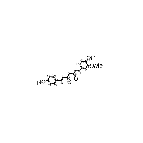 COc1cc(/C=C/C(=O)CC(=O)/C=C/c2ccc(O)cc2)ccc1O